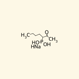 CCCCC(C(C)=O)P(O)O.[NaH]